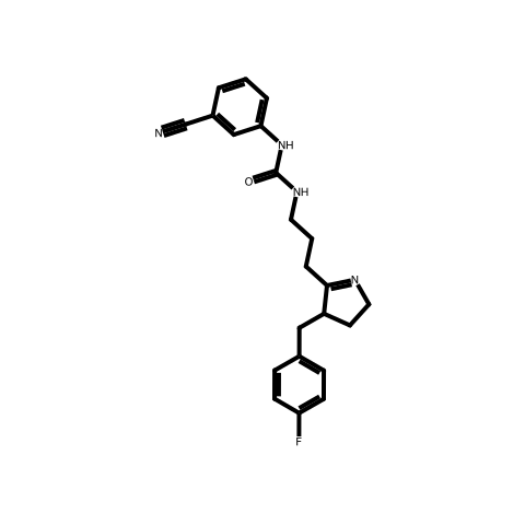 N#Cc1cccc(NC(=O)NCCCC2=NCCC2Cc2ccc(F)cc2)c1